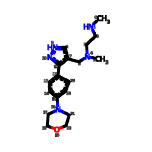 CNCCN(C)Cc1c[nH]nc1-c1ccc(N2CCOCC2)cc1